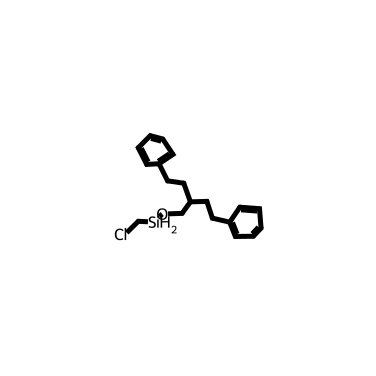 ClC[SiH2]OCC(CCc1ccccc1)CCc1ccccc1